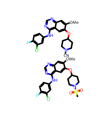 COc1cc2ncnc(Nc3ccc(F)c(Cl)c3)c2cc1OC1CCN(C#N)CC1.COc1cc2ncnc(Nc3ccc(F)c(Cl)c3)c2cc1OC1CCN(S(C)(=O)=O)CC1